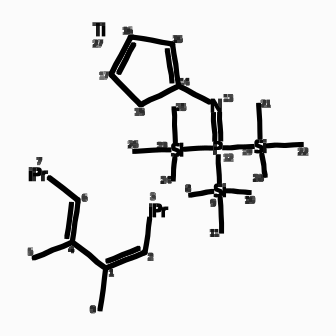 CC(=CC(C)C)C(C)=CC(C)C.C[Si](C)(C)P(=NC1=CC=CC1)([Si](C)(C)C)[Si](C)(C)C.[Ti]